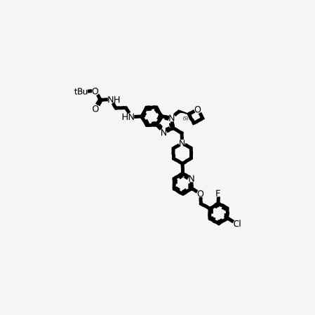 CC(C)(C)OC(=O)NCCNc1ccc2c(c1)nc(CN1CCC(c3cccc(OCc4ccc(Cl)cc4F)n3)CC1)n2C[C@@H]1CCO1